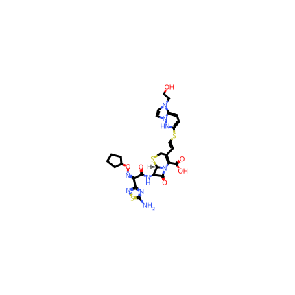 Nc1nc(/C(=N/OC2CCCC2)C(=O)N[C@@H]2C(=O)N3C(C(=O)O)=C(/C=C/SC4=CC=C5N(CCO)C=CN5N4)CS[C@@H]23)ns1